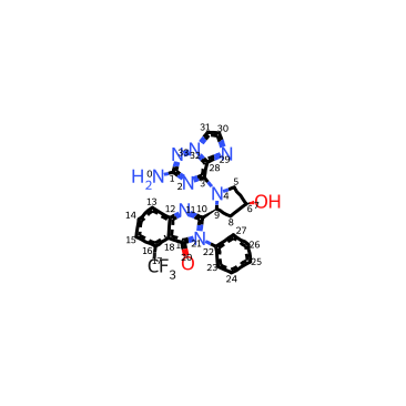 Nc1nc(N2C[C@@H](O)C[C@H]2c2nc3cccc(C(F)(F)F)c3c(=O)n2-c2ccccc2)c2nccn2n1